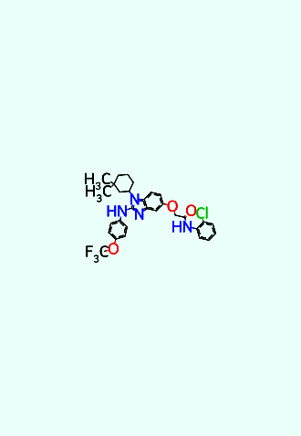 CC1(C)CCCC(n2c(Nc3ccc(OC(F)(F)F)cc3)nc3cc(OCC(=O)Nc4ccccc4Cl)ccc32)C1